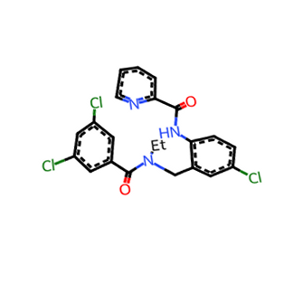 CCN(Cc1cc(Cl)ccc1NC(=O)c1ccccn1)C(=O)c1cc(Cl)cc(Cl)c1